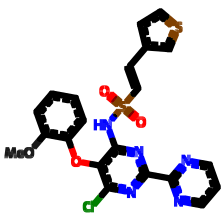 COc1ccccc1Oc1c(Cl)nc(-c2ncccn2)nc1NS(=O)(=O)/C=C/c1ccsc1